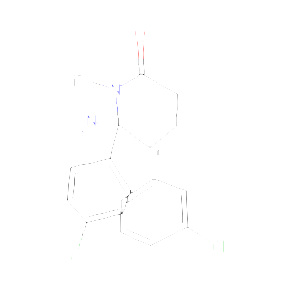 CC(C)N1C(=O)CC[C@H](c2cccc(Cl)c2)[C@@]1(N)c1ccc(Cl)cc1